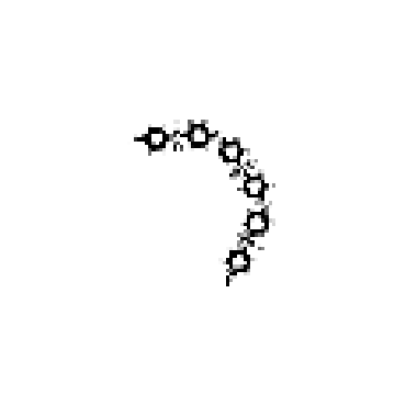 O=S(=O)(c1ccc(F)cc1)c1ccc(Oc2ccc(S(=O)(=O)c3ccc(Oc4ccc(S(=O)(=O)c5ccc(F)cc5)cc4)cc3)cc2)cc1